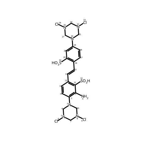 Nc1c(N2CN(Cl)CN(Cl)C2)ccc(C=Cc2ccc(N3CN(Cl)CN(Cl)C3)cc2S(=O)(=O)O)c1S(=O)(=O)O